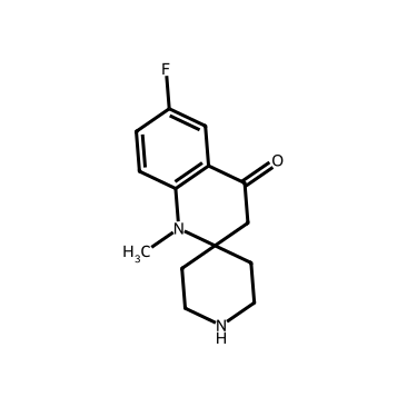 CN1c2ccc(F)cc2C(=O)CC12CCNCC2